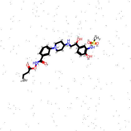 CCC(C)CCC(=O)ONC(=O)c1cccc(N2CCC(NCC(O)c3ccc(O)c(NS(C)(=O)=O)c3)CC2)c1